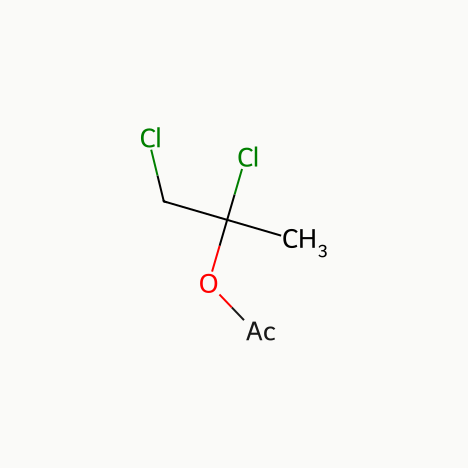 CC(=O)OC(C)(Cl)CCl